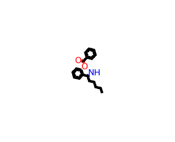 CCCCCC(=N)c1ccccc1OC(=O)c1ccccc1